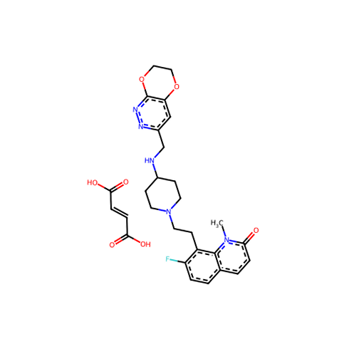 Cn1c(=O)ccc2ccc(F)c(CCN3CCC(NCc4cc5c(nn4)OCCO5)CC3)c21.O=C(O)C=CC(=O)O